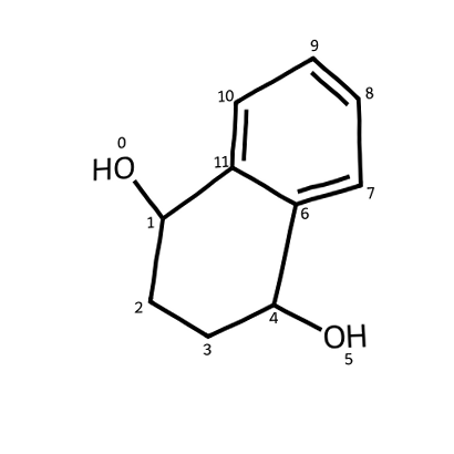 OC1CCC(O)c2ccccc21